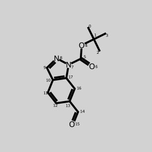 CC(C)(C)OC(=O)n1ncc2ccc(C=O)cc21